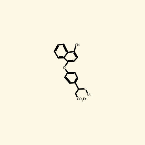 CCOC(=O)CC(OCC)c1ccc(Oc2ccc(C#N)c3ccccc23)cc1